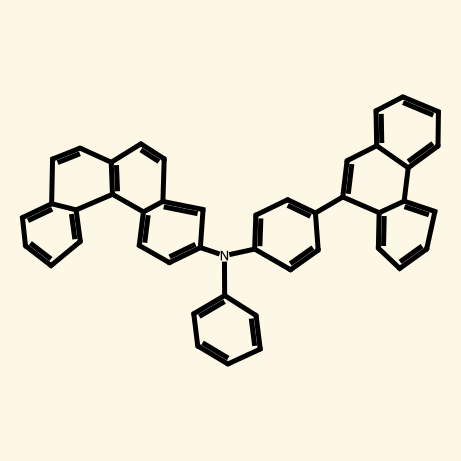 c1ccc(N(c2ccc(-c3cc4ccccc4c4ccccc34)cc2)c2ccc3c(ccc4ccc5ccccc5c43)c2)cc1